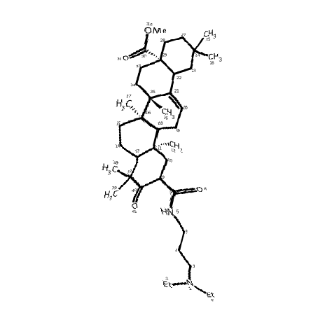 CCN(CC)CCCNC(=O)C1C[C@@]2(C)C(CC[C@]3(C)C2CC=C2C4CC(C)(C)CC[C@]4(C(=O)OC)CC[C@]23C)C(C)(C)C1=O